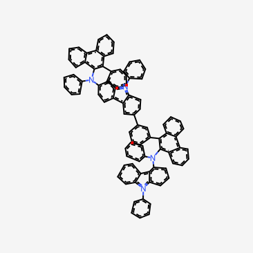 c1ccc(-c2c(N(c3ccccc3)c3ccc4c5cc(-c6cccc(-c7c(N(c8ccccc8)c8cccc9c8c8ccccc8n9-c8ccccc8)c8ccccc8c8ccccc78)c6)ccc5n(-c5ccccc5)c4c3)c3ccccc3c3ccccc23)cc1